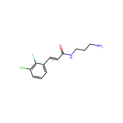 NCCCNC(=O)/C=C/c1cccc(Cl)c1F